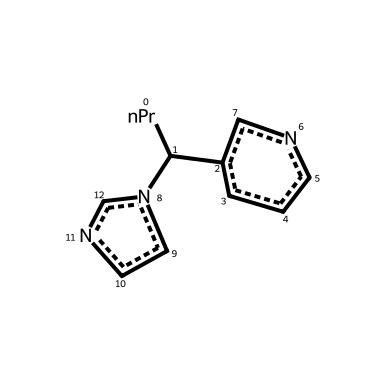 CCCC(c1cccnc1)n1ccnc1